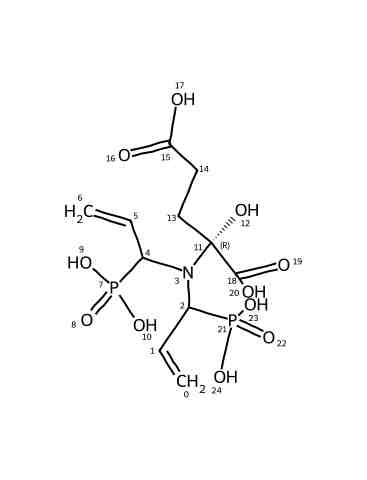 C=CC(N(C(C=C)P(=O)(O)O)[C@@](O)(CCC(=O)O)C(=O)O)P(=O)(O)O